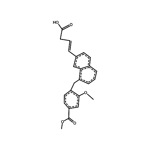 COC(=O)c1ccc(Cc2cccc3ccc(C=CCC(=O)O)cc23)c(OC)c1